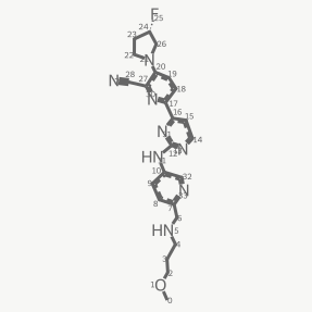 COCCCNCc1ccc(Nc2nccc(-c3ccc(N4CC[C@H](F)C4)c(C#N)n3)n2)cn1